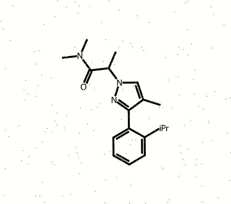 Cc1cn(C(C)C(=O)N(C)C)nc1-c1ccccc1C(C)C